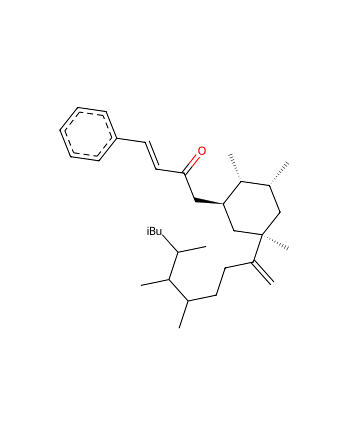 C=C(CCC(C)C(C)C(C)C(C)CC)[C@@]1(C)C[C@@H](CC(=O)/C=C/c2ccccc2)[C@H](C)[C@H](C)C1